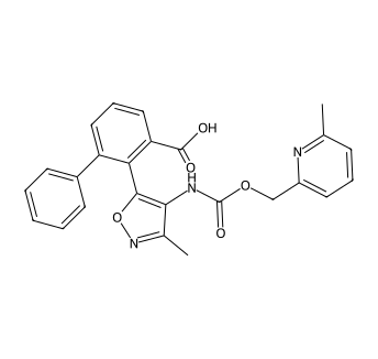 Cc1cccc(COC(=O)Nc2c(C)noc2-c2c(C(=O)O)cccc2-c2ccccc2)n1